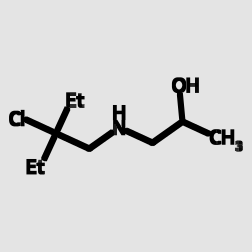 CCC(Cl)(CC)CNCC(C)O